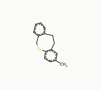 Cc1ccc2c(c1)CCc1ccccc1CS2